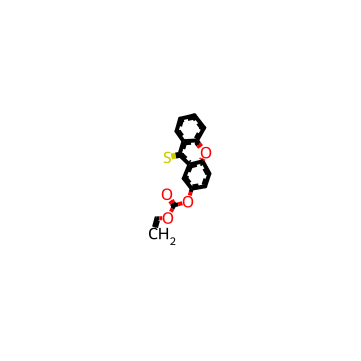 C=COC(=O)Oc1ccc2oc3ccccc3c(=S)c2c1